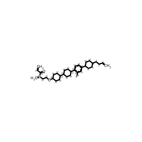 C=CCCC1CCC(c2ccc(C3CCC(C4CCC(OCCN(C)C(=O)C=C)CC4)CC3)c(F)c2)CC1